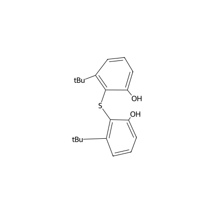 CC(C)(C)c1cccc(O)c1Sc1c(O)cccc1C(C)(C)C